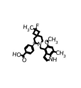 COc1cc(C)c2[nH]ccc2c1CN1CCC2(C[C@@H]1c1ccc(C(=O)O)cc1)CC(C)(F)C2